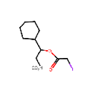 O=C(O)CC(OC(=O)CI)C1CCCCC1